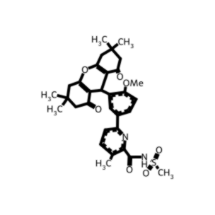 COc1ccc(-c2ccc(C)c(C(=O)NS(C)(=O)=O)n2)cc1C1C2=C(CC(C)(C)CC2=O)OC2=C1C(=O)CC(C)(C)C2